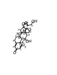 C[C@]12C=CC(=O)C=C1CC[C@@H]1C2[C@@H](O)C[C@]23CO[C@]2(C(=O)CO)[C@H](O)C[C@@H]13